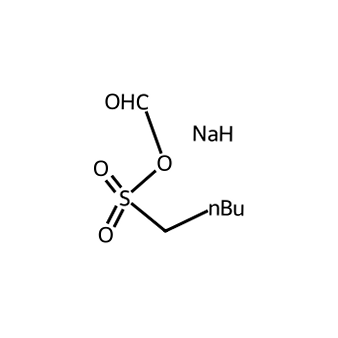 CCCCCS(=O)(=O)OC=O.[NaH]